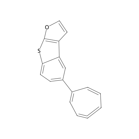 C1=CC=CC(c2ccc3sc4occc4c3c2)=CC=1